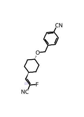 N#C/C(F)=C/[C@H]1CC[C@H](OCc2ccc(C#N)cc2)CC1